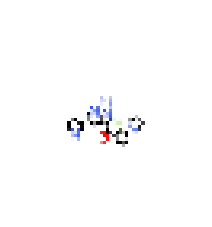 O=C(c1cccc(N2CCCC2)c1F)c1c[nH]c2ncc(-c3cccnc3)cc12